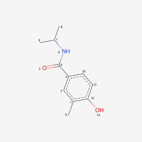 Cc1cc(C(=O)NC(C)C)ccc1O